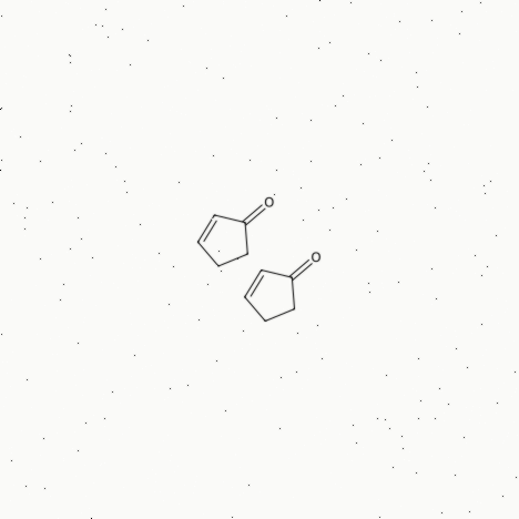 O=C1C=CCC1.O=C1C=CCC1